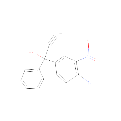 C#CC(O)(c1ccccc1)c1ccc(N)c([N+](=O)[O-])c1